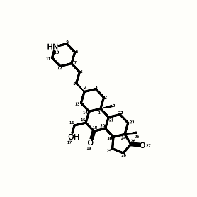 C[C@]12CC[C@H](CCC3CCNCC3)CC1C(CO)C(=O)C1C2CC[C@]2(C)C(=O)CCC12